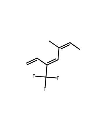 C=C/C(=C\C(C)=C/C)C(F)(F)F